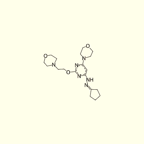 c1c(NN=C2CCCC2)nc(OCCN2CCOCC2)nc1N1CCOCC1